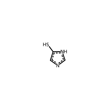 Sc1cnc[nH]1